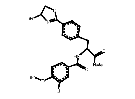 CNC(=O)C(Cc1ccc(C2=NC(C(C)C)CO2)cc1)NC(=O)c1ccc(OC(C)C)c(Cl)c1